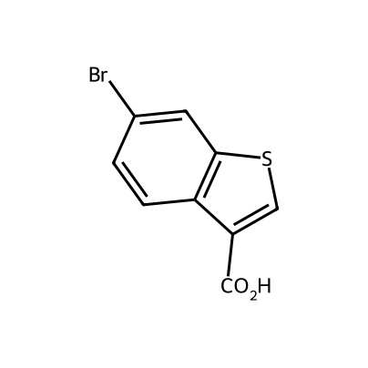 O=C(O)c1csc2cc(Br)ccc12